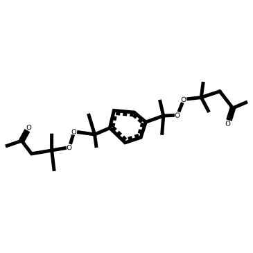 CC(=O)CC(C)(C)OOC(C)(C)c1ccc(C(C)(C)OOC(C)(C)CC(C)=O)cc1